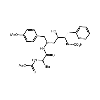 CC[C@H](C)[C@H](NC(=O)OC)C(=O)NN(Cc1ccc(OC)cc1)C[C@@H](O)[C@H](Cc1ccccc1)NC(=O)O